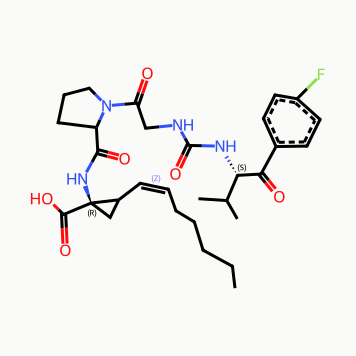 CCCCC/C=C\C1C[C@]1(NC(=O)C1CCCN1C(=O)CNC(=O)N[C@H](C(=O)c1ccc(F)cc1)C(C)C)C(=O)O